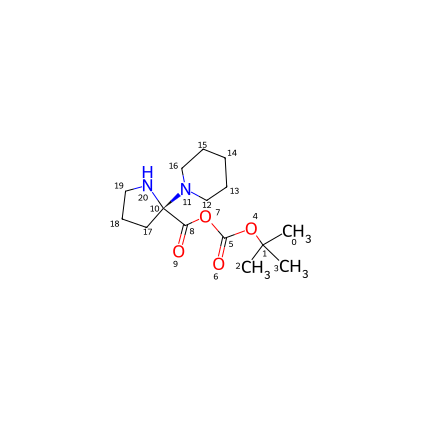 CC(C)(C)OC(=O)OC(=O)[C@]1(N2CCCCC2)CCCN1